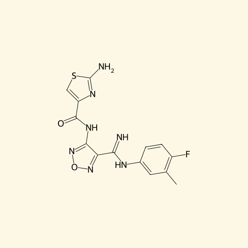 Cc1cc(NC(=N)c2nonc2NC(=O)c2csc(N)n2)ccc1F